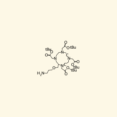 CC(C)(C)OC(=O)CN1CCN(CC(=O)OC(C)(C)C)CCN(CC(=O)OC(C)(C)C)C(COCCCN)CN(CC(=O)OC(C)(C)C)CC1